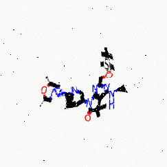 C[C@@H]1CN(c2ccc(N3C(=O)C(C)(C)c4c(NC5CC5)nc(CO[Si](C)(C)C(C)(C)C)nc43)cn2)C[C@H](C)O1